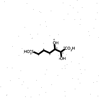 O=C(O)[C](O)C(O)CCCS(=O)(=O)O